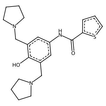 O=C(Nc1cc(CN2CCCC2)c(O)c(CN2CCCC2)c1)c1cccs1